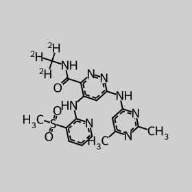 [2H]C([2H])([2H])NC(=O)c1nnc(Nc2cc(C)nc(C)n2)cc1Nc1ncccc1S(C)(=O)=O